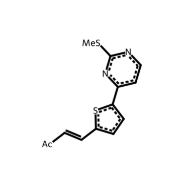 CSc1nccc(-c2ccc(C=CC(C)=O)s2)n1